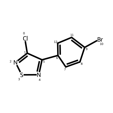 Clc1nsnc1-c1ccc(Br)cc1